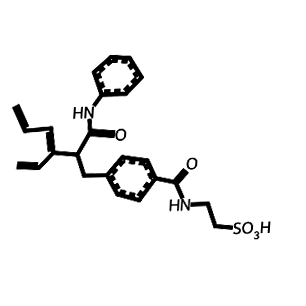 C=C/C=C(\C=C)C(Cc1ccc(C(=O)NCCS(=O)(=O)O)cc1)C(=O)Nc1ccccc1